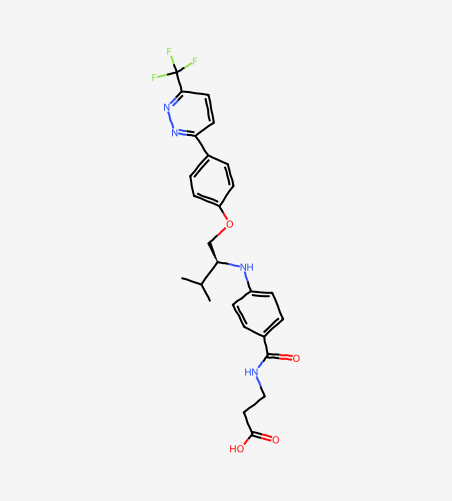 CC(C)[C@@H](COc1ccc(-c2ccc(C(F)(F)F)nn2)cc1)Nc1ccc(C(=O)NCCC(=O)O)cc1